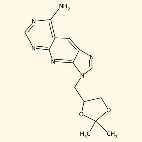 CC1(C)OCC(Cn2cnc3cc4c(N)ncnc4nc32)O1